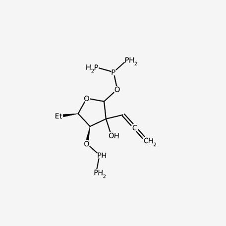 C=C=CC1(O)C(OP(P)P)O[C@H](CC)[C@@H]1OPP